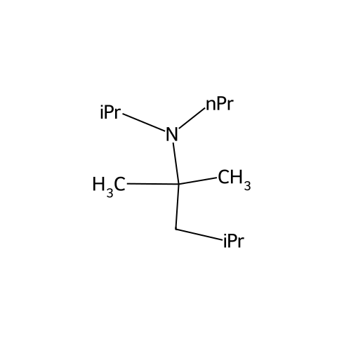 CCCN(C(C)C)C(C)(C)CC(C)C